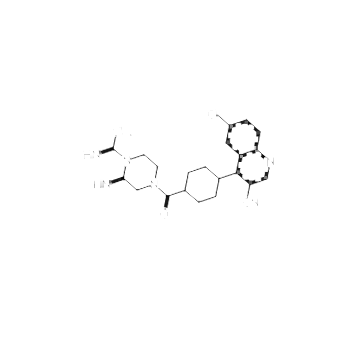 N#Cc1cnc2ccc(Cl)cc2c1C1CCC(C(=O)N2CCN(C(=N)C(F)(F)F)C(=N)C2)CC1